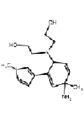 Cn1ccc(C2=CC(C)(N)C=CC2N(CCO)CCO)c1